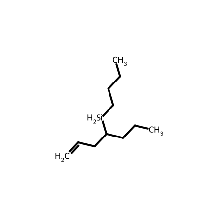 C=CCC(CCC)[SiH2]CCCC